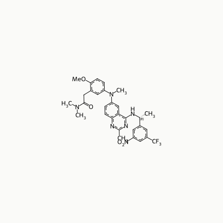 COc1ccc(N(C)c2ccc3nc(C)nc(N[C@H](C)c4cc([N+](=O)[O-])cc(C(F)(F)F)c4)c3c2)cc1CC(=O)N(C)C